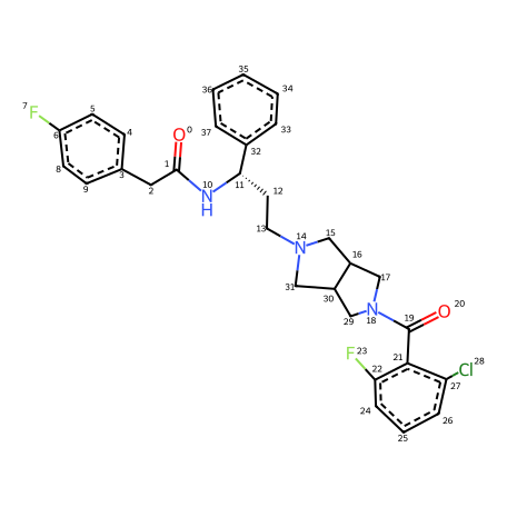 O=C(Cc1ccc(F)cc1)N[C@@H](CCN1CC2CN(C(=O)c3c(F)cccc3Cl)CC2C1)c1ccccc1